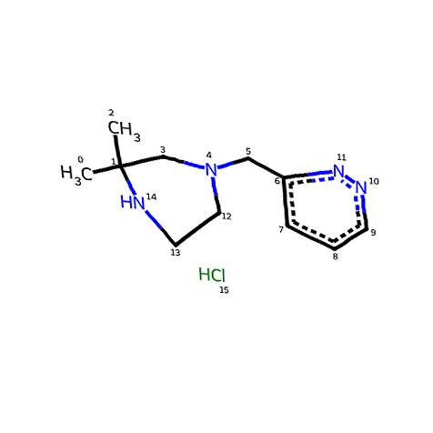 CC1(C)CN(Cc2cccnn2)CCN1.Cl